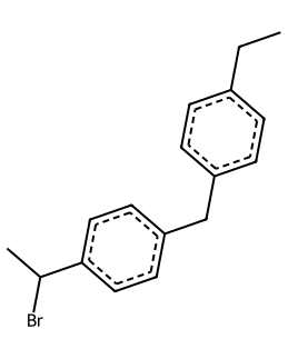 CCc1ccc(Cc2ccc(C(C)Br)cc2)cc1